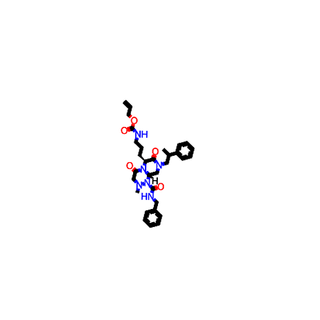 C=CCOC(=O)NCCC[C@H]1C(=O)N(CC(C)c2ccccc2)C[C@H]2N1C(=O)CN(C)N2C(=O)NCc1ccccc1